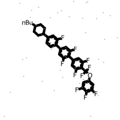 CCCCC1CCC(c2ccc(-c3cc(F)c(-c4cc(F)c(C(F)(F)Oc5cc(F)c(F)c(F)c5)c(F)c4)c(F)c3)c(F)c2)CC1